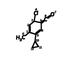 CC1=CC(Cl)C(=C=O)C=C1C1CC1